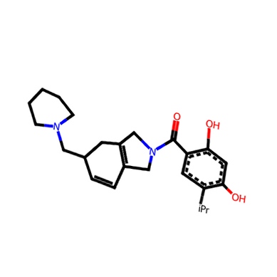 CC(C)c1cc(C(=O)N2CC3=C(CC(CN4CCCCC4)C=C3)C2)c(O)cc1O